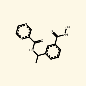 CC(NC(=O)c1cnccn1)c1cccc(C(=O)NO)c1